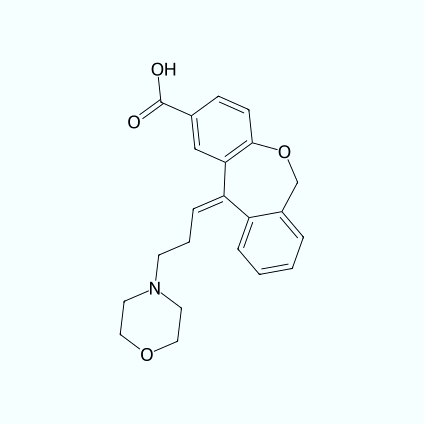 O=C(O)c1ccc2c(c1)/C(=C/CCN1CCOCC1)c1ccccc1CO2